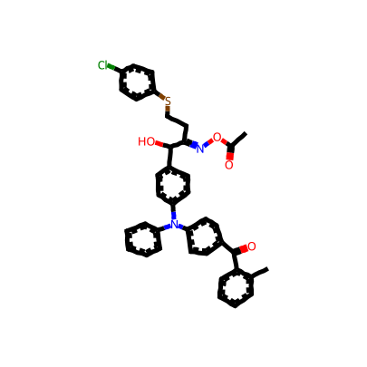 CC(=O)O/N=C(\CCSc1ccc(Cl)cc1)C(O)c1ccc(N(c2ccccc2)c2ccc(C(=O)c3ccccc3C)cc2)cc1